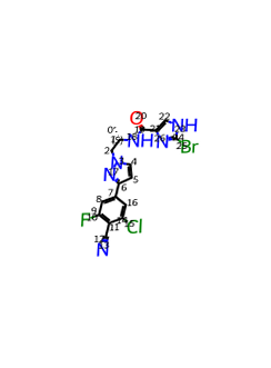 C[C@@H](Cn1ccc(-c2cc(F)c(C#N)c(Cl)c2)n1)NC(=O)c1c[nH]c(Br)n1